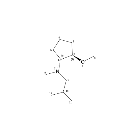 CO[C@@H]1CCC[C@H]1N(C)CC(C)C